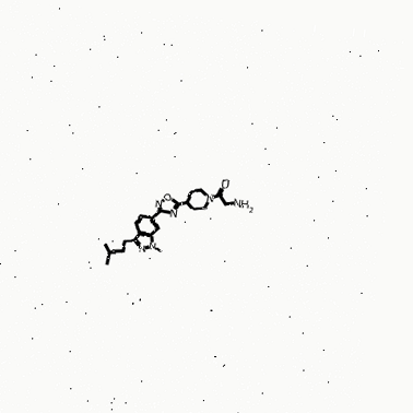 CC(C)CCc1nn(C)c2cc(-c3noc(C4CCN(C(=O)CN)CC4)n3)ccc12